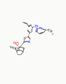 Cc1cc(Nc2nccc(C(F)(F)F)n2)cc(-c2cnc(C3(O)CC4CCC(C3)C4C(=O)O)s2)c1